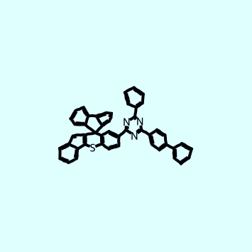 c1ccc(-c2ccc(-c3nc(-c4ccccc4)nc(-c4ccc5c(c4)C4(c6ccccc6-c6ccccc64)c4ccc6ccccc6c4S5)n3)cc2)cc1